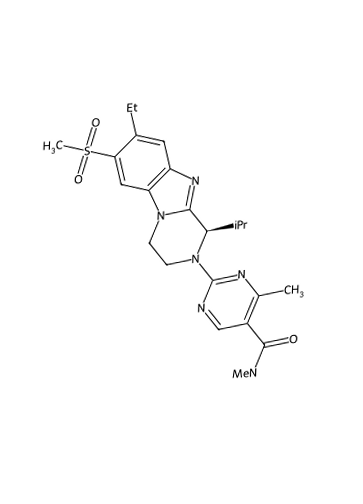 CCc1cc2nc3n(c2cc1S(C)(=O)=O)CCN(c1ncc(C(=O)NC)c(C)n1)[C@@H]3C(C)C